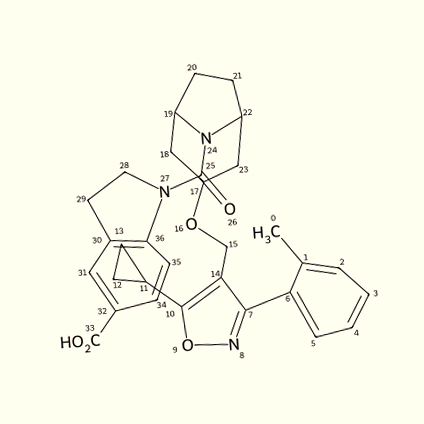 Cc1ccccc1-c1noc(C2CC2)c1COC1CC2CCC(C1)N2C(=O)N1CCc2cc(C(=O)O)ccc21